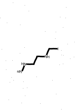 CCCNCCNCI